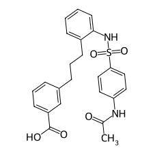 CC(=O)Nc1ccc(S(=O)(=O)Nc2ccccc2CCCc2cccc(C(=O)O)c2)cc1